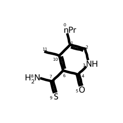 CCCc1c[nH]c(=O)c(C(N)=S)c1C